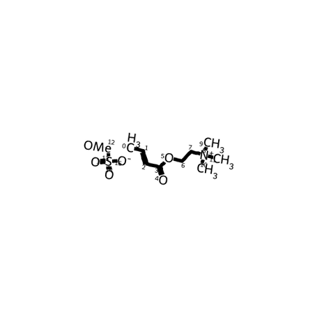 CC=CC(=O)OCC[N+](C)(C)C.COS(=O)(=O)[O-]